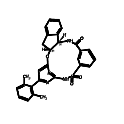 Cc1cccc(C)c1-c1cc2nc(n1)NS(=O)(=O)c1cccc(c1)C(=O)N[C@@H]1c3ccccc3C[C@H]1O2